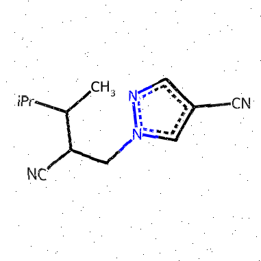 CC(C)C(C)C(C#N)Cn1cc(C#N)cn1